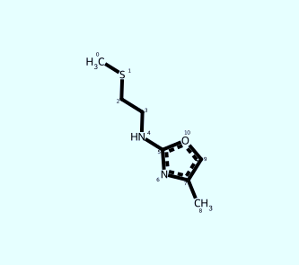 CSCCNc1nc(C)co1